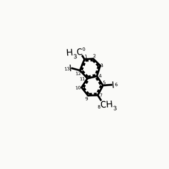 Cc1ccc2c(I)c(C)ccc2c1I